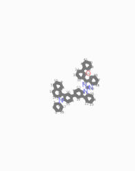 C1=CCC(N2C3=C(c4ccccc4CC3)C3C=C(C4=CC5c6ccccc6N(c6nc(-c7cccc8c7oc7ccccc78)c7ccccc7n6)C5C=C4)C=CC32)C=C1